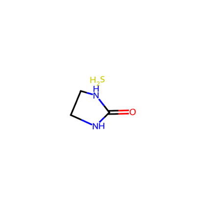 O=C1NCCN1.S